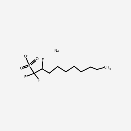 CCCCCCCCC(F)C(F)(F)S(=O)(=O)[O-].[Na+]